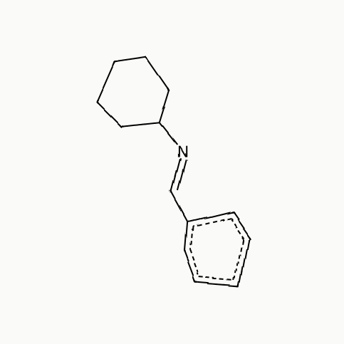 C(=NC1CCCCC1)c1ccccc1